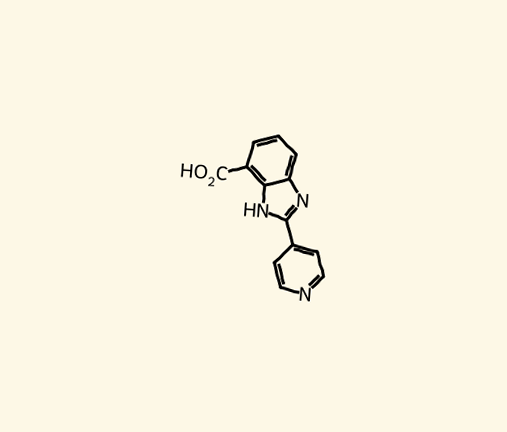 O=C(O)c1cccc2nc(-c3ccncc3)[nH]c12